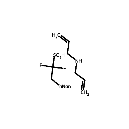 C=CCNCC=C.CCCCCCCCCCC(F)(F)S(=O)(=O)O